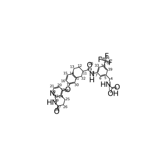 O=C(O)NCc1cc(NC(=O)C2CCc3ccc(Oc4ccnc5c4CCC(=O)N5)cc3C2)cc(C(F)(F)F)c1